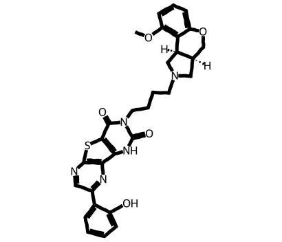 COc1cccc2c1[C@@H]1CN(CCCCn3c(=O)[nH]c4c(sc5ncc(-c6ccccc6O)nc54)c3=O)C[C@@H]1CO2